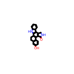 O=C1NCc2c1c1c(c3c2C2C=CC=CC2N3)CCc2cc(O)ccc2-1